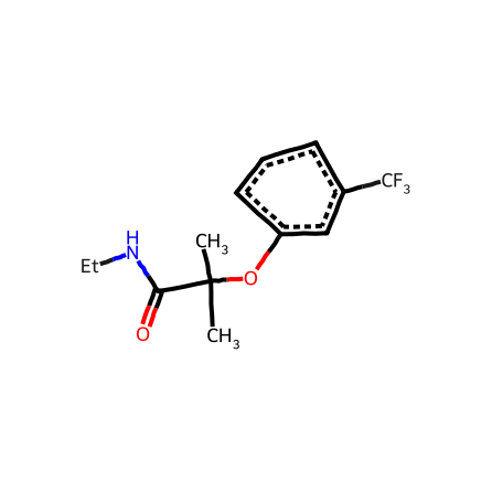 CCNC(=O)C(C)(C)Oc1cccc(C(F)(F)F)c1